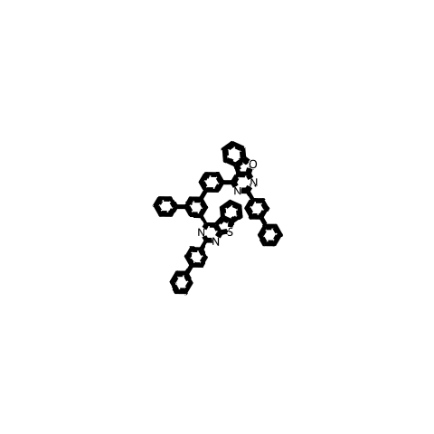 c1ccc(-c2ccc(-c3nc(-c4cccc(-c5cc(-c6ccccc6)cc(-c6nc(-c7ccc(-c8ccccc8)cc7)nc7sc8ccccc8c67)c5)c4)c4c(n3)oc3ccccc34)cc2)cc1